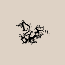 CC(CO)c1nc(-c2ncn3c2c(=O)n(CCN2CCCC(O)C2)c2c(Cl)cccc23)no1